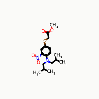 COC(=O)CSc1ccc(N(CC(C)C)CC(C)C)c([N+](=O)[O-])c1